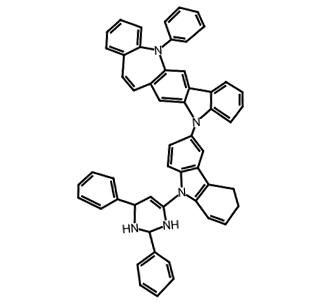 C1=Cc2c(c3cc(-n4c5ccccc5c5cc6c(cc54)C=Cc4ccccc4N6c4ccccc4)ccc3n2C2=CC(c3ccccc3)NC(c3ccccc3)N2)CC1